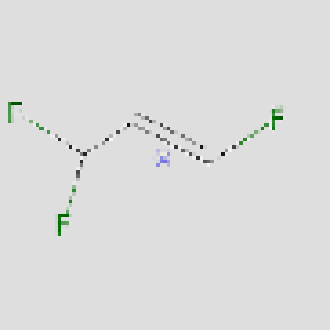 F/C=C/C(F)F